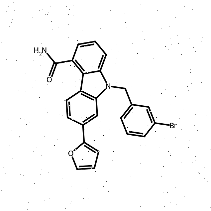 NC(=O)c1cccc2c1c1[c]cc(-c3ccco3)cc1n2Cc1cccc(Br)c1